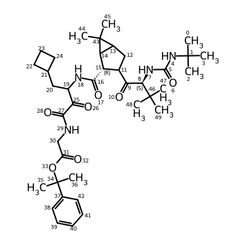 CC(C)(C)NC(=O)N[C@H](C(=O)C1CC2C([C@H]1C(=O)NC(CC1CCC1)C(=O)C(=O)NCC(=O)OC(C)(C)c1ccccc1)C2(C)C)C(C)(C)C